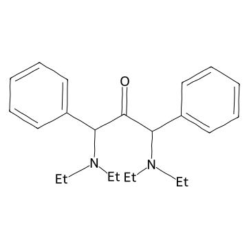 CCN(CC)C(C(=O)C(c1ccccc1)N(CC)CC)c1ccccc1